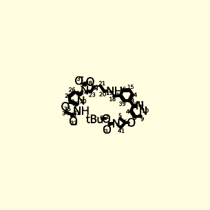 CC(C)(C)OC(=O)N1CC(Oc2cnnc(-c3cccc(CNCC[C@H]4CN(c5ccc6c(n5)NC(=O)CO6)C(=O)O4)c3)c2)C1